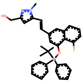 Cn1nc(CO)cc1C=Cc1cc(O[Si](c2ccccc2)(c2ccccc2)C(C)(C)C)c2c(F)cccc2c1